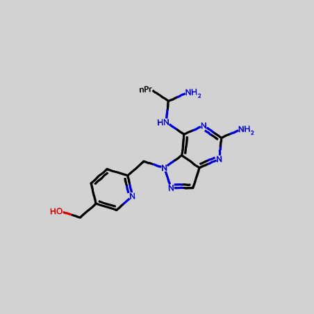 CCCC(N)Nc1nc(N)nc2cnn(Cc3ccc(CO)cn3)c12